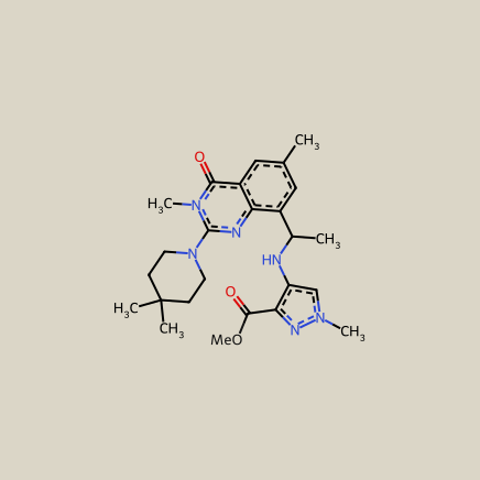 COC(=O)c1nn(C)cc1NC(C)c1cc(C)cc2c(=O)n(C)c(N3CCC(C)(C)CC3)nc12